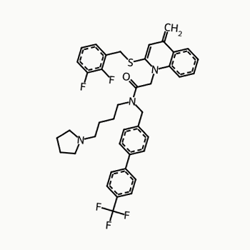 C=C1C=C(SCc2cccc(F)c2F)N(CC(=O)N(CCCCN2CCCC2)Cc2ccc(-c3ccc(C(F)(F)F)cc3)cc2)c2ccccc21